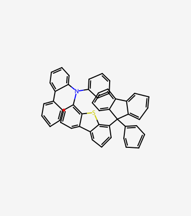 c1ccc(-c2ccccc2N(c2ccccc2)c2cccc3c2sc2c(C4(c5ccccc5)c5ccccc5-c5ccccc54)cccc23)cc1